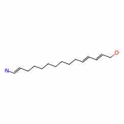 [N]C=CCCCCCCCCC=CC=CC[O]